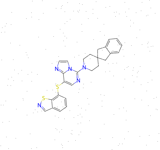 c1ccc2c(c1)CC1(CCN(c3ncc(Sc4cccc5cnsc45)c4nccn34)CC1)C2